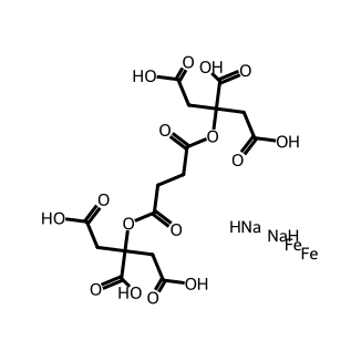 O=C(O)CC(CC(=O)O)(OC(=O)CCC(=O)OC(CC(=O)O)(CC(=O)O)C(=O)O)C(=O)O.[Fe].[Fe].[NaH].[NaH]